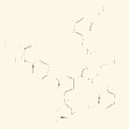 CCc1cccc(CNC[C@@H](O)[C@H](Cc2cc(F)cc(F)c2)NC(=O)c2cc(-c3ccc(NC(C)=O)cc3)cc(-c3nccs3)c2)c1